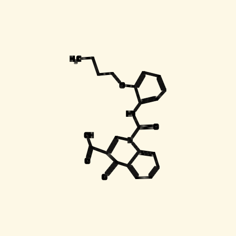 CCCCOc1ccccc1NC(=O)n1cc(C(=O)O)c(=O)c2ccccc21